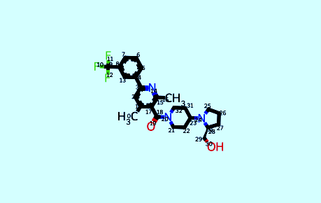 Cc1cc(-c2cccc(C(F)(F)F)c2)nc(C)c1C(=O)N1CCC(N2CCC[C@H]2CO)CC1